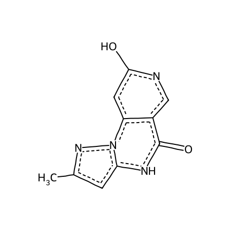 Cc1cc2[nH]c(=O)c3cnc(O)cc3n2n1